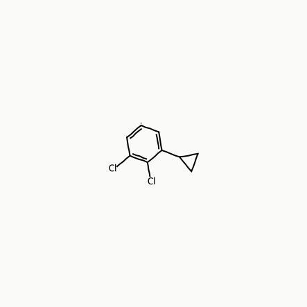 Clc1c[c]cc(C2CC2)c1Cl